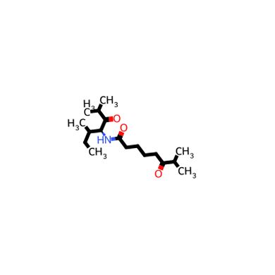 CCC(C)[C@H](NC(=O)CCCCC(=O)C(C)C)C(=O)C(C)C